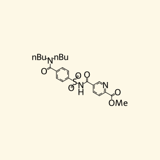 CCCCN(CCCC)C(=O)c1ccc(S(=O)(=O)NC(=O)c2ccc(C(=O)OC)nc2)cc1